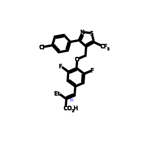 CC/C(=C\c1cc(F)c(OCc2c(-c3ccc(Cl)cc3)nsc2C(F)(F)F)c(F)c1)C(=O)O